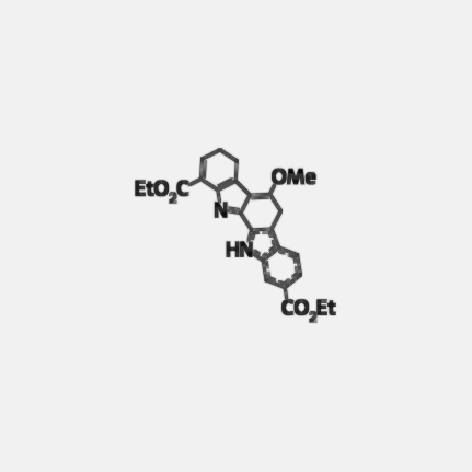 CCOC(=O)C1=CCCC2=C1N=C1C2=C(OC)Cc2c1[nH]c1cc(C(=O)OCC)ccc21